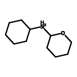 C1CCC([SiH2]C2CCCCO2)CC1